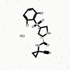 Cl.N#CC1(NC(=O)[C@@H]2C[C@@H](S(=O)(=O)c3c(Cl)cccc3Cl)CN2)CC1